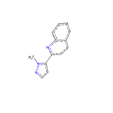 Cn1nccc1-c1ccc2ccccc2n1